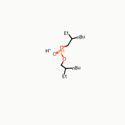 CCCCC(CC)CO[PH](=O)OCC(CC)CCCC.[H+]